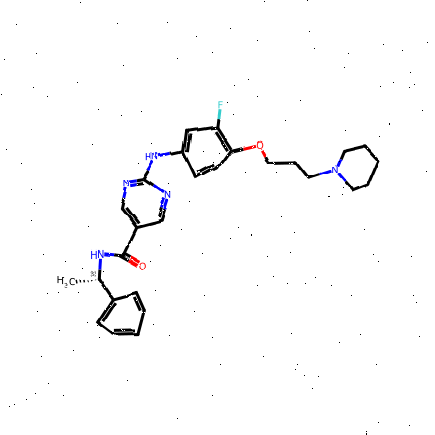 C[C@H](NC(=O)c1cnc(Nc2ccc(OCCCN3CCCCC3)c(F)c2)nc1)c1ccccc1